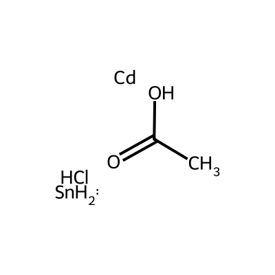 CC(=O)O.Cl.[Cd].[SnH2]